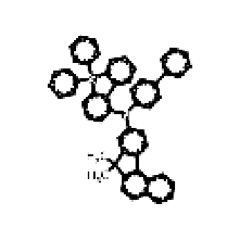 CC1(C)c2cc(N(c3ccc(-c4ccccc4)cc3)c3cccc4c3-c3ccccc3[Si]4(c3ccccc3)c3ccccc3)ccc2-c2c1ccc1ccccc21